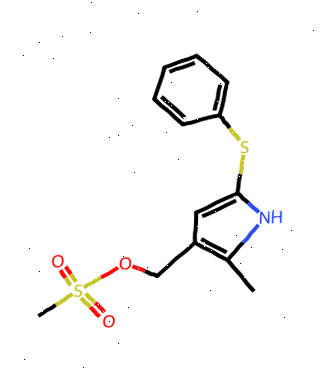 Cc1[nH]c(Sc2ccccc2)cc1COS(C)(=O)=O